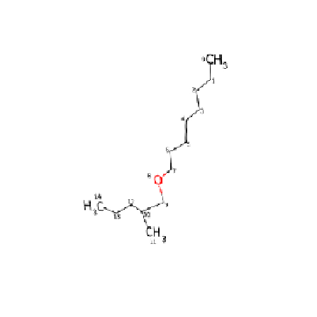 CCCCCCCCOCC(C)CCC